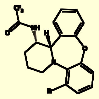 O=C(N[C@H]1CCCN2c3c(Br)cccc3Oc3ccccc3[C@@H]12)C(F)(F)F